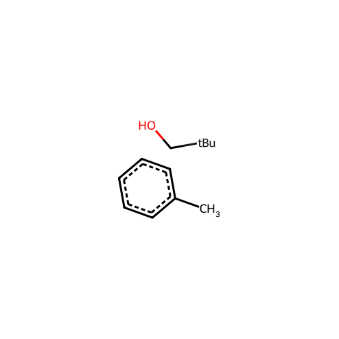 CC(C)(C)CO.Cc1ccccc1